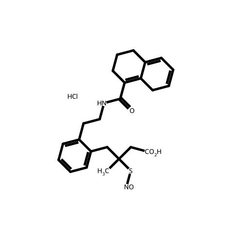 CC(CC(=O)O)(Cc1ccccc1CCNC(=O)C1=C2CC=CC=C2CCC1)SN=O.Cl